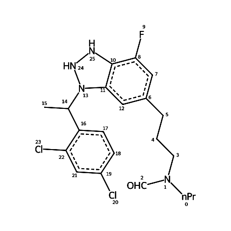 CCCN(C=O)CCCc1cc(F)c2c(c1)N(C(C)c1ccc(Cl)cc1Cl)NN2